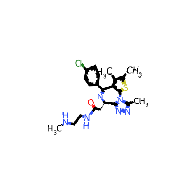 CNCCNC(=O)C[C@@H]1N=C(c2ccc(Cl)cc2)c2c(sc(C)c2C)-n2c(C)nnc21